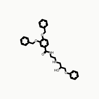 O=C(NCCNCC(O)COc1ccccc1)c1ccc(OCc2ccccc2)c(OCc2ccccc2)c1